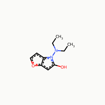 CCN(CC)n1c(O)cc2occc21